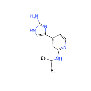 CCC(CC)Nc1cc(-c2c[nH]c(N)n2)ccn1